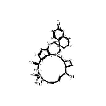 CC[C@@H]1CC/C=C/C(O)C2CCC2CN2C[C@@]3(CCCc4cc(Cl)ccc43)COc3ccc(cc32)C(=O)NS1(=O)=O